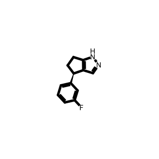 Fc1cccc([C@H]2CCc3[nH]ncc32)c1